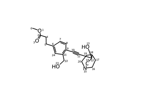 COC(=O)CCc1ccc(C#CC2(O)CN3CCC2CC3)c(CO)c1